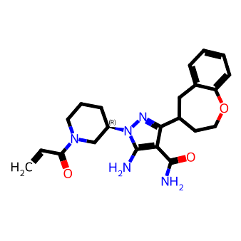 C=CC(=O)N1CCC[C@@H](n2nc(C3CCOc4ccccc4C3)c(C(N)=O)c2N)C1